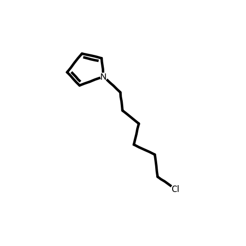 ClCCCCCCn1cccc1